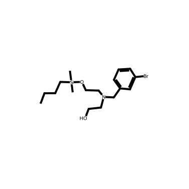 CCCC[Si](C)(C)OCCN(CCO)Cc1cccc(Br)c1